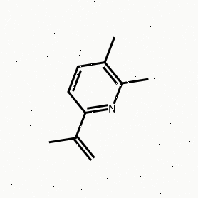 C=C(C)c1ccc(C)c(C)n1